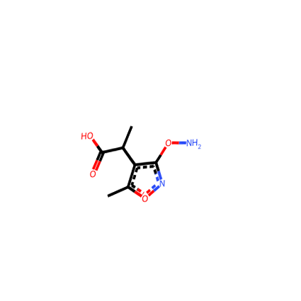 Cc1onc(ON)c1C(C)C(=O)O